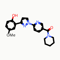 COc1ccc(O)c(-c2ccn(-c3ccc(C(=O)N4CCCCC4)cn3)n2)c1